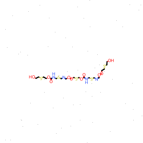 O=C(NCSC/N=C/OOCSCOC(=O)NCSC/N=C\OOCCSCCO)OCCSCCO